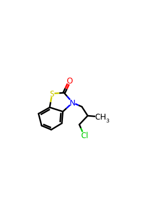 CC(CCl)Cn1c(=O)sc2ccccc21